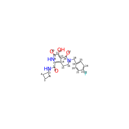 O=C(NC1CCC1)c1[nH]c(=O)c(O)c2c1CCN(Cc1ccc(F)cc1)C2=O